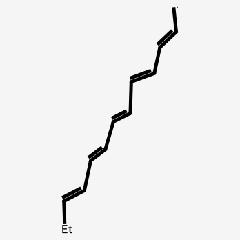 [CH2]C=CC=CC=CC=CC=CCC